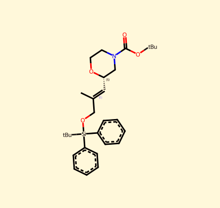 C/C(=C\[C@H]1CN(C(=O)OC(C)(C)C)CCO1)CO[Si](c1ccccc1)(c1ccccc1)C(C)(C)C